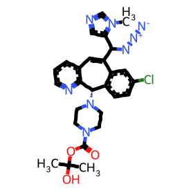 Cn1cncc1C(N=[N+]=[N-])C1=Cc2cccnc2[C@@H](N2CCN(C(=O)OC(C)(C)O)CC2)c2ccc(Cl)cc21